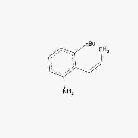 C/C=C\c1c(N)cccc1CCCC